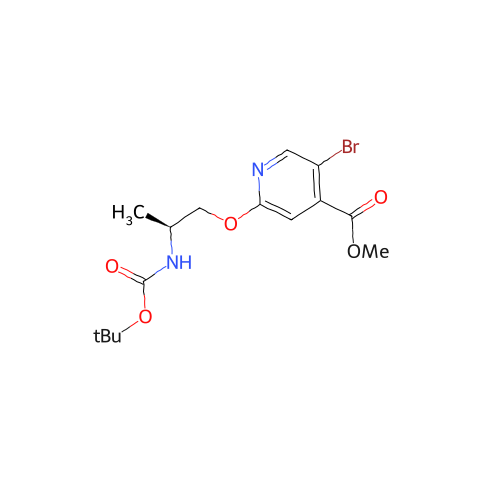 COC(=O)c1cc(OC[C@H](C)NC(=O)OC(C)(C)C)ncc1Br